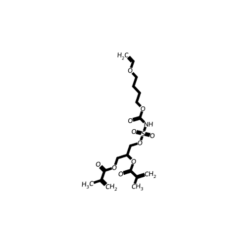 C=COCCCCOC(=O)NS(=O)(=O)OCC(COC(=O)C(=C)C)OC(=O)C(=C)C